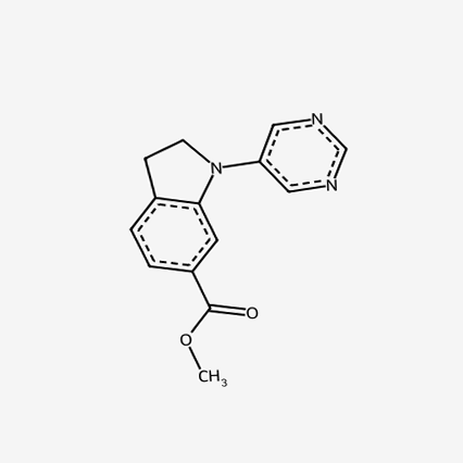 COC(=O)c1ccc2c(c1)N(c1cncnc1)CC2